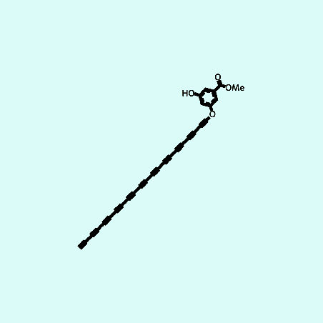 C#CC#CC#CC#CC#CC#CC#CC#CC#CC#CC#COc1cc(O)cc(C(=O)OC)c1